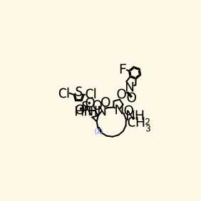 CC1(N)CCCCC/C=C\C2CC2(C(=O)NS(=O)(=O)c2cc(Cl)sc2Cl)NC(=O)C2CC(OC(=O)N3Cc4cccc(F)c4C3)CN2C1=O